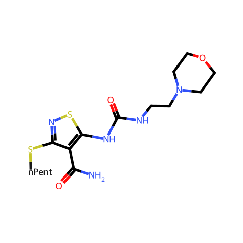 CCCCCSc1nsc(NC(=O)NCCN2CCOCC2)c1C(N)=O